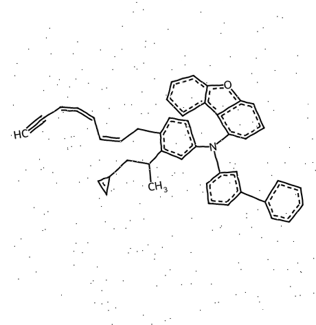 C#CC=C=C/C=C\Cc1ccc(N(c2cccc(-c3ccccc3)c2)c2cccc3oc4ccccc4c23)cc1C(C)CC1C=C1